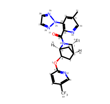 CC[C@@H]1[C@H]2C[C@@H](Oc3ccc(C(F)(F)F)cn3)[C@H](C2)N1C(=O)c1ncc(C)cc1-n1nccn1